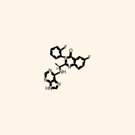 C[C@H](Nc1ncnc2[nH]cnc12)c1nc2ccc(F)cc2c(=O)n1-c1ccccc1F